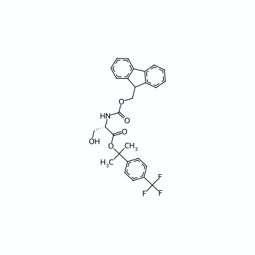 CC(C)(OC(=O)[C@H](CO)NC(=O)OCC1c2ccccc2-c2ccccc21)c1ccc(C(F)(F)F)cc1